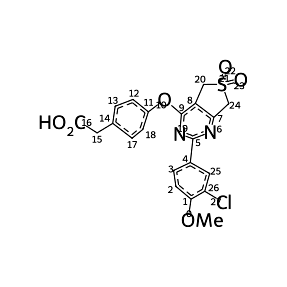 COc1ccc(-c2nc3c(c(Oc4ccc(CC(=O)O)cc4)n2)CS(=O)(=O)C3)cc1Cl